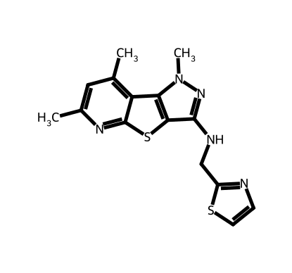 Cc1cc(C)c2c(n1)sc1c(NCc3nccs3)nn(C)c12